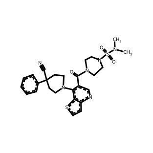 CN(C)S(=O)(=O)N1CCN(C(=O)c2cnc3ccsc3c2N2CCC(C#N)(c3ccccc3)CC2)CC1